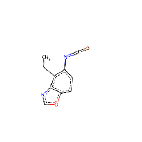 CCc1c(N=C=S)ccc2ocnc12